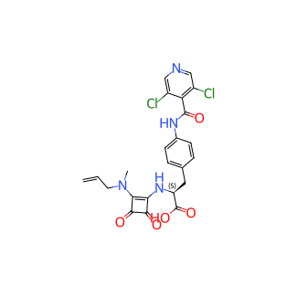 C=CCN(C)c1c(N[C@@H](Cc2ccc(NC(=O)c3c(Cl)cncc3Cl)cc2)C(=O)O)c(=O)c1=O